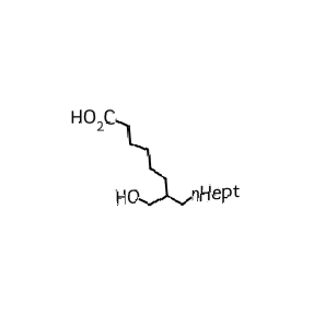 CCCCCCCCC(CO)CCCCCC(=O)O